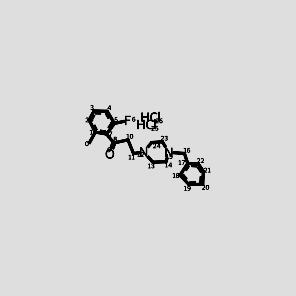 Cc1cccc(F)c1C(=O)CCN1CCN(Cc2ccccc2)CC1.Cl.Cl